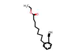 C#Cc1ccccc1CCCCCCCC(=O)OCC